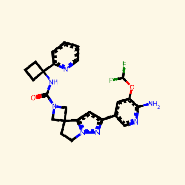 Nc1ncc(-c2cc3n(n2)CCC32CN(C(=O)NC3(c4ccccn4)CCC3)C2)cc1OC(F)F